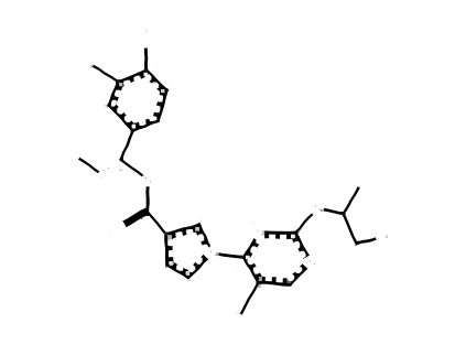 CCC(CO)Nc1ncc(C)c(-n2ccc(C(=O)N[C@H](CO)c3ccc(F)c(Cl)c3)c2)n1